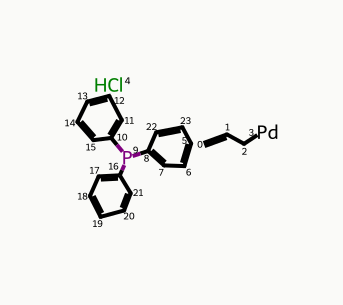 C=C[CH2][Pd].Cl.c1ccc(P(c2ccccc2)c2ccccc2)cc1